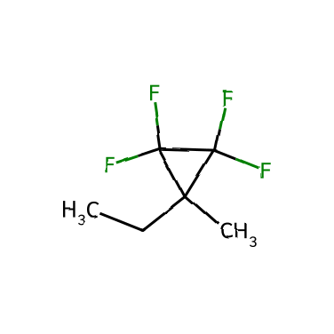 CCC1(C)C(F)(F)C1(F)F